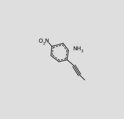 CC#Cc1ccc([N+](=O)[O-])cc1.N